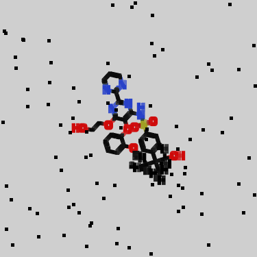 [2H]C([2H])([2H])C(c1ccc(S(=O)(=O)Nc2nc(-c3ncccn3)nc(OCCO)c2Oc2ccccc2OCC)cc1)(C([2H])([2H])[2H])C([2H])([2H])O